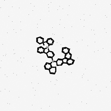 CC1(c2ccccc2N2c3ccccc3C3C=C(N(c4cccc5c4CCC=C5)C4C=C5C(=CC4)c4cccc6cc7ccccc7c5c46)C=CC32)C=CC=CC1